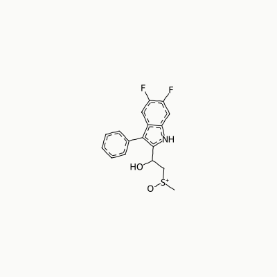 C[S+]([O-])CC(O)c1[nH]c2cc(F)c(F)cc2c1-c1ccccc1